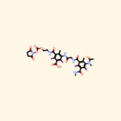 CNC(=O)c1c(I)c(C(=O)NCC(=O)Nc2c(C)c(C(=O)NCCOC(=O)ON3C(=O)CCC3=O)c(I)c(C(=O)O)c2I)c(C)c(N(C)C(C)=O)c1I